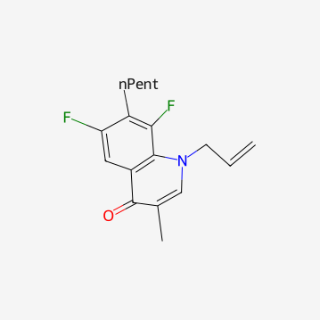 C=CCn1cc(C)c(=O)c2cc(F)c(CCCCC)c(F)c21